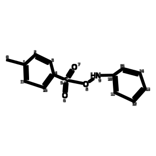 Cc1ccc(S(=O)(=O)ONc2ccccc2)cc1